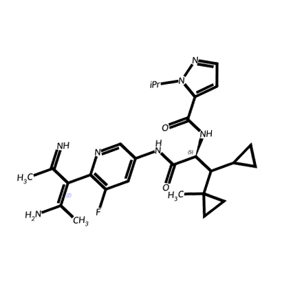 CC(=N)/C(=C(/C)N)c1ncc(NC(=O)[C@@H](NC(=O)c2ccnn2C(C)C)C(C2CC2)C2(C)CC2)cc1F